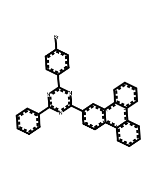 Brc1ccc(-c2nc(-c3ccccc3)nc(-c3ccc4c5ccccc5c5ccccc5c4c3)n2)cc1